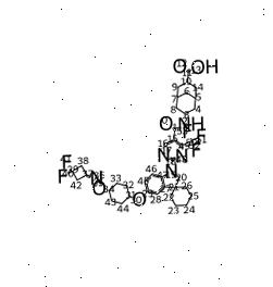 O=C(NC1CC2CC(C1)CC(C(=O)O)C2)c1cnc(N2CC3(CCCCC3)c3cc(O[C@H]4CC[C@@H](ON=C5CC(F)(F)C5)CC4)ccc32)nc1C(F)(F)F